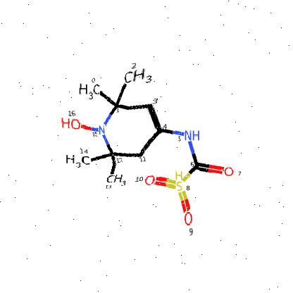 CC1(C)CC(NC(=O)[SH](=O)=O)CC(C)(C)N1O